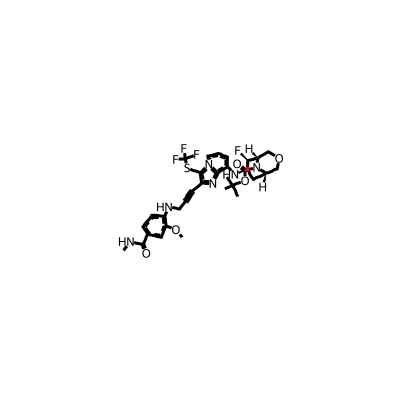 CNC(=O)c1ccc(NCC#Cc2nc3c(N[C@@H]4C[C@H]5COC[C@@H]([C@@H]4F)N5C(=O)OC(C)(C)C)cccn3c2SC(F)(F)F)c(OC)c1